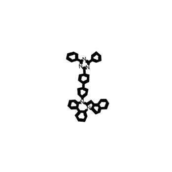 c1ccc(-c2nc(-c3ccccc3)nc(-c3ccc(-c4ccc(N5c6ccccc6-c6ccccc6-n6c5cc5c7ccccc7ccc56)cc4)cc3)n2)cc1